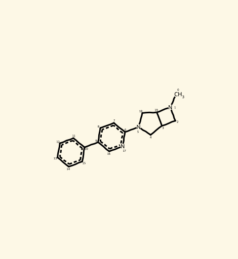 CN1CC2CN(c3ccc(-c4ccccc4)cn3)CC21